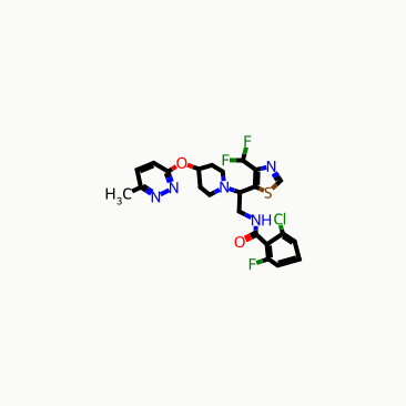 Cc1ccc(OC2CCN(C(CNC(=O)c3c(F)cccc3Cl)c3scnc3C(F)F)CC2)nn1